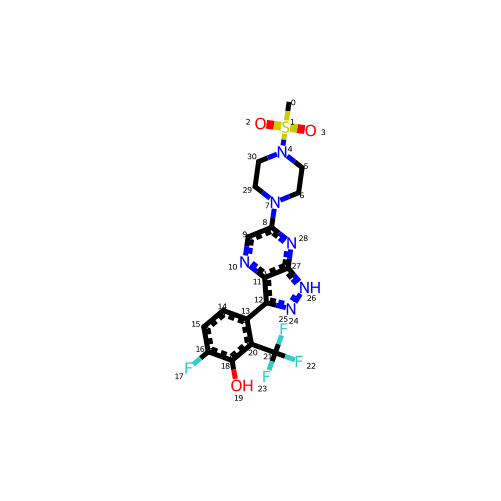 CS(=O)(=O)N1CCN(c2cnc3c(-c4ccc(F)c(O)c4C(F)(F)F)n[nH]c3n2)CC1